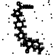 CNC(=O)c1csc(N2CCN(C3C=C(c4nc5c(c(=O)[nH]4)CC4(CC5)CC4)CC3)CC2)n1